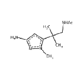 CC(=O)NCC(C)(C)c1cc(N)nn1C